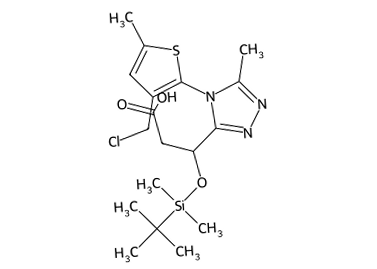 Cc1cc(CCl)c(-n2c(C)nnc2C(CC(=O)O)O[Si](C)(C)C(C)(C)C)s1